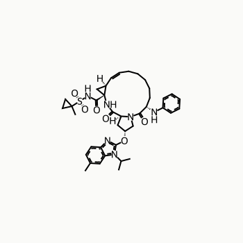 Cc1ccc2nc(O[C@@H]3C[C@H]4C(=O)N[C@]5(C(=O)NS(=O)(=O)C6(C)CC6)C[C@H]5/C=C\CCCCC[C@H](Nc5ccccc5)C(=O)N4C3)n(C(C)C)c2c1